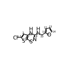 Clc1cc2c(s1)SN=C(NCc1ccco1)N2